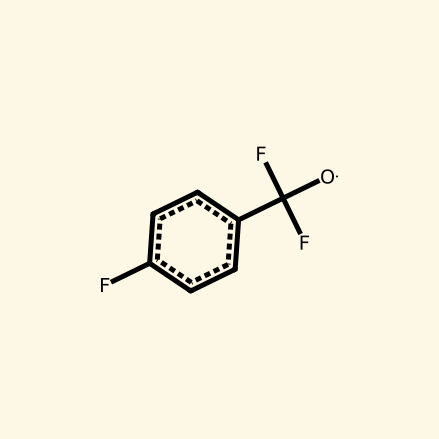 [O]C(F)(F)c1ccc(F)cc1